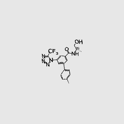 Cc1ccc(-c2cc(C(=O)N[C@@H](C)CO)cc(-n3nnnc3C(F)(F)F)c2)cc1